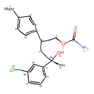 CNc1ccc(C(COC(N)=O)C[C@](O)(c2cccc(Cl)c2)C(C)(C)C)cc1